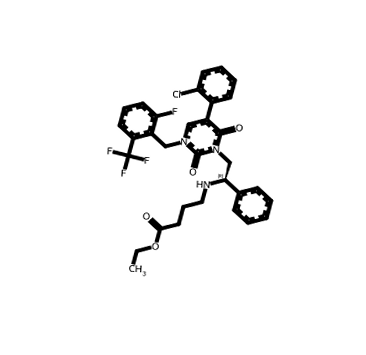 CCOC(=O)CCCN[C@@H](Cn1c(=O)c(-c2ccccc2Cl)cn(Cc2c(F)cccc2C(F)(F)F)c1=O)c1ccccc1